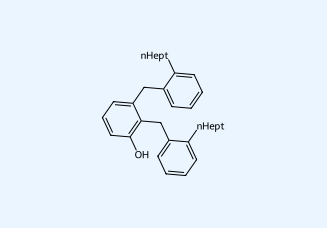 CCCCCCCc1ccccc1Cc1cccc(O)c1Cc1ccccc1CCCCCCC